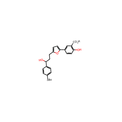 CCCCc1ccc(C(O)CCc2ccc(-c3ccc(O)c(C(=O)O)c3)o2)cc1